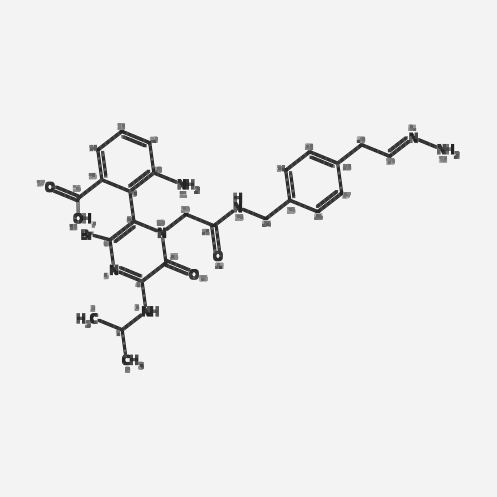 CC(C)Nc1nc(Br)c(-c2c(N)cccc2C(=O)O)n(CC(=O)NCc2ccc(CC=NN)cc2)c1=O